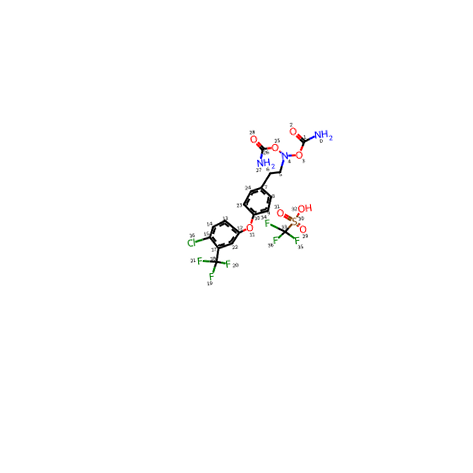 NC(=O)ON(CCc1ccc(Oc2ccc(Cl)c(C(F)(F)F)c2)cc1)OC(N)=O.O=S(=O)(O)C(F)(F)F